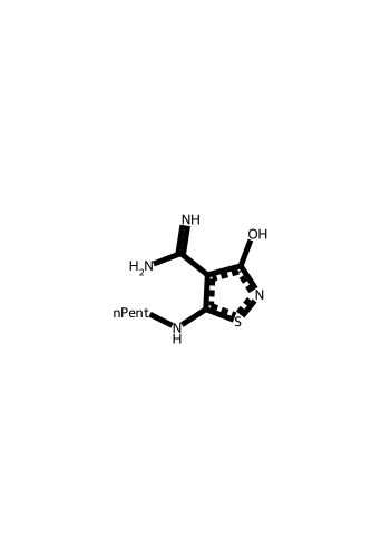 CCCCCNc1snc(O)c1C(=N)N